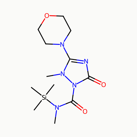 CN(C(=O)n1c(=O)nc(N2CCOCC2)n1C)[Si](C)(C)C